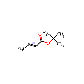 C/[C]=C/C(=O)OC(C)(C)C